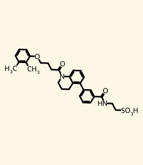 Cc1cccc(OCCCC(=O)N2CCCc3c(-c4cccc(C(=O)NCCS(=O)(=O)O)c4)cccc32)c1C